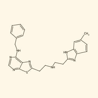 Cc1ccc2nc(CCNCCc3nc4c(NCc5ccccc5)ncnc4s3)[nH]c2c1